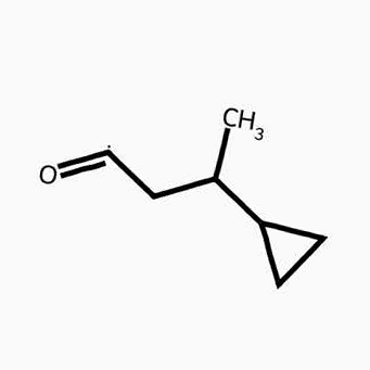 CC(C[C]=O)C1CC1